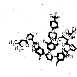 COC(=O)N[C@H](C(=O)N1CCC[C@H]1c1nc2cc([C@H]3CC[C@H](c4cc5nc([C@@H]6CCCN6C(=O)[CH]C(C)C)[nH]c5cc4F)N3c3cc(F)c(N4CCN(c5ccc(C(F)(F)F)cc5)CC4)c(F)c3)c(F)cc2[nH]1)C(C)C